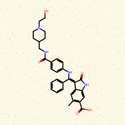 Cc1cc2c(cc1C(=O)O)NC(=O)/C2=C(\Nc1ccc(C(=O)NCC2CCN(CCO)CC2)cc1)c1ccccc1